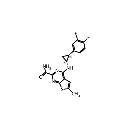 Cc1cc2c(N[C@@H]3C[C@H]3c3ccc(F)c(F)c3)nc(C(N)=O)nc2s1